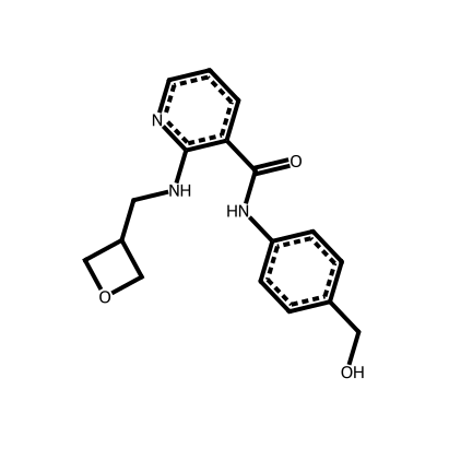 O=C(Nc1ccc(CO)cc1)c1cccnc1NCC1COC1